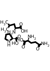 CC(C)C[C@H](N)C(=O)O.NC(=O)CC[C@H](N)C(=O)O.O=C(O)[C@@H]1CCCN1